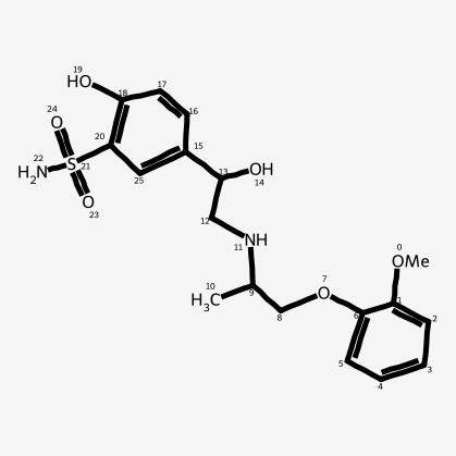 COc1ccccc1OCC(C)NCC(O)c1ccc(O)c(S(N)(=O)=O)c1